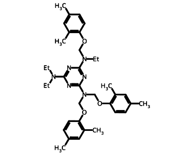 CCN(CC)c1nc(N(CC)COc2ccc(C)cc2C)nc(N(COc2ccc(C)cc2C)COc2ccc(C)cc2C)n1